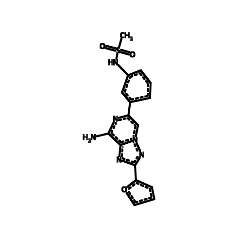 CS(=O)(=O)Nc1cccc(-c2cn3nc(-c4ccco4)nc3c(N)n2)c1